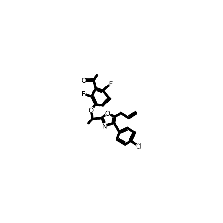 C=CCc1oc(C(C)Oc2ccc(F)c(C(C)=O)c2F)nc1-c1ccc(Cl)cc1